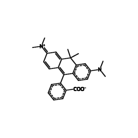 CN(C)c1ccc2c(c1)C(C)(C)C1=CC(=[N+](C)C)C=CC1=C2c1ccccc1C(=O)[O-]